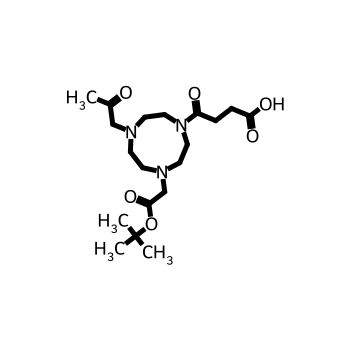 CC(=O)CN1CCN(CC(=O)OC(C)(C)C)CCN(C(=O)CCC(=O)O)CC1